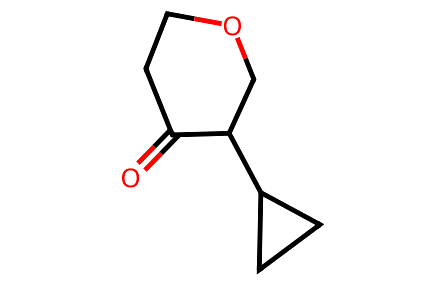 O=C1CCOCC1C1CC1